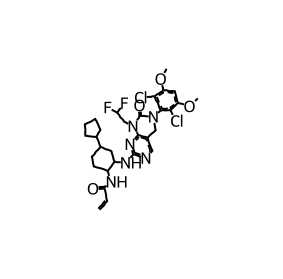 C=CC(=O)NC1CCC(C2CCCC2)CC1Nc1ncc2c(n1)N(CC(F)F)C(=O)N(c1c(Cl)c(OC)cc(OC)c1Cl)C2